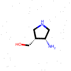 N[C@H]1CNC[C@H]1CO